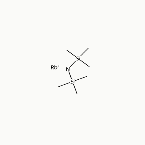 C[Si](C)(C)[N-][Si](C)(C)C.[Rb+]